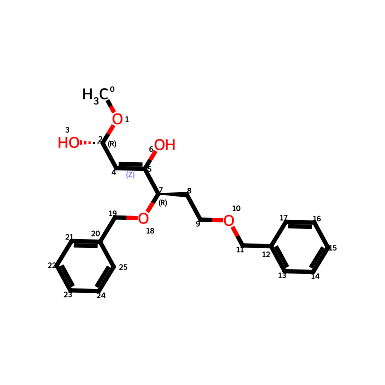 CO[C@@H](O)/C=C(\O)[C@@H](CCOCc1ccccc1)OCc1ccccc1